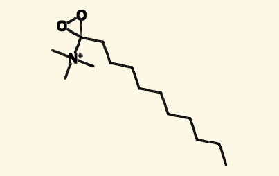 CCCCCCCCCCC1([N+](C)(C)C)OO1